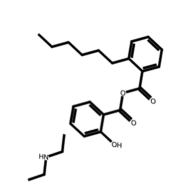 CCCCCCc1ccccc1C(=O)OC(=O)c1ccccc1O.CCNCC